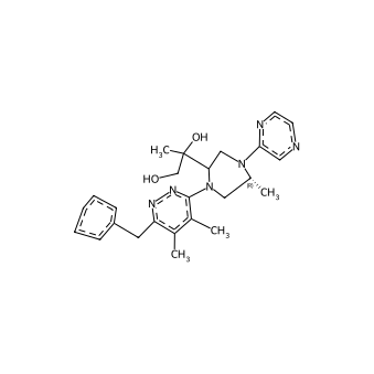 Cc1c(Cc2ccccc2)nnc(N2C[C@@H](C)N(c3cnccn3)CC2C(C)(O)CO)c1C